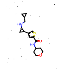 O=C(NC1CCOCC1)c1cc(C2CC2NCC2CC2)cs1